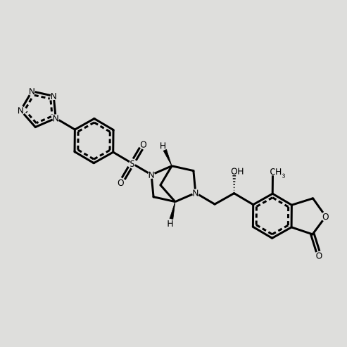 Cc1c([C@@H](O)CN2C[C@@H]3C[C@H]2CN3S(=O)(=O)c2ccc(-n3cnnn3)cc2)ccc2c1COC2=O